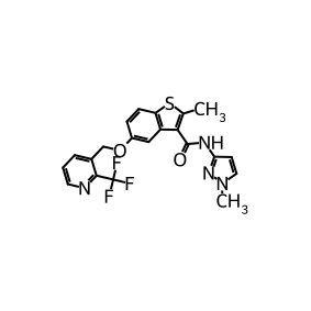 Cc1sc2ccc(OCc3cccnc3C(F)(F)F)cc2c1C(=O)Nc1ccn(C)n1